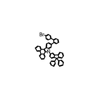 Brc1ccc(-c2ccccc2-c2ccc3c4c5ccccc5c5ccccc5c4n(-c4ccc5c(c4)-c4ccccc4C5(c4ccccc4)c4ccccc4)c3c2)cc1